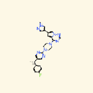 C[C@@H](c1ccc(F)cc1)c1cnc(N2CCN(c3ncnn4cc(-c5cnn(C)c5)cc34)CC2)nc1